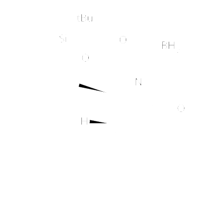 BC(=O)N1C(=O)C2[C@H](c3ccccc3C2(C)C)[C@H]1CO[Si](C)(C)C(C)(C)C